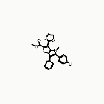 COC(=O)c1sc2c(-c3ccccc3)c(-c3ccc(Cl)cc3)n(C)c2c1C1OCCO1